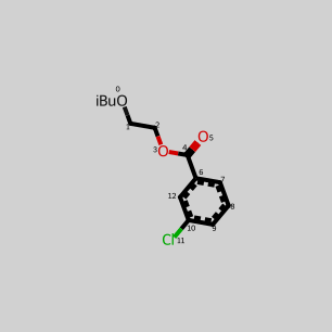 CC(C)COCCOC(=O)c1cccc(Cl)c1